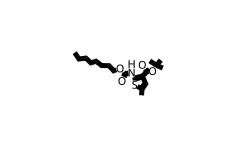 CCCCCCCCOC(=O)Nc1sc(C)cc1C(=O)OC(C)(C)C